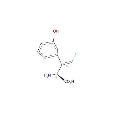 N[C@H](C(=O)O)/C(=C/F)c1cccc(O)c1